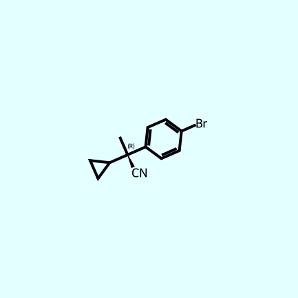 C[C@](C#N)(c1ccc(Br)cc1)C1CC1